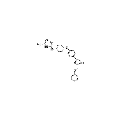 CC(C)NC(=O)Nc1ccc(Oc2ccc(-c3c[nH]c(COc4ccccc4)n3)cc2)cc1